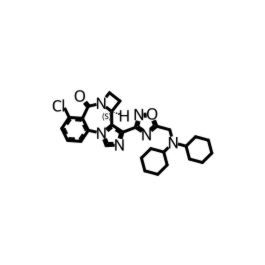 O=C1c2c(Cl)cccc2-n2cnc(-c3noc(CN(C4CCCCC4)C4CCCCC4)n3)c2[C@@H]2CCN12